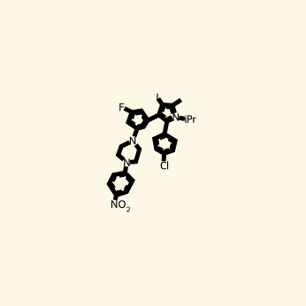 Cc1c(I)c(-c2cc(F)cc(N3CCN(c4ccc([N+](=O)[O-])cc4)CC3)c2)c(-c2ccc(Cl)cc2)n1C(C)C